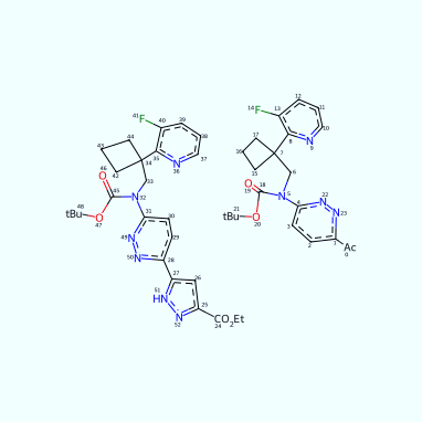 CC(=O)c1ccc(N(CC2(c3ncccc3F)CCC2)C(=O)OC(C)(C)C)nn1.CCOC(=O)c1cc(-c2ccc(N(CC3(c4ncccc4F)CCC3)C(=O)OC(C)(C)C)nn2)[nH]n1